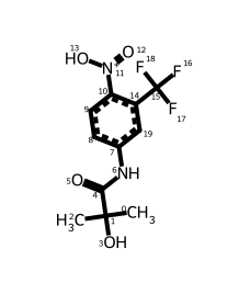 CC(C)(O)C(=O)Nc1ccc([N+](=O)O)c(C(F)(F)F)c1